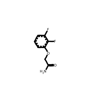 NC(=O)COc1cccc(F)c1F